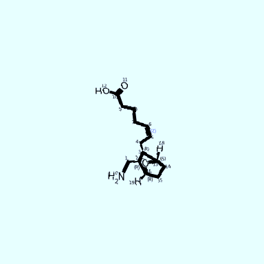 NC[C@H]1[C@@H](C/C=C\CCCC(=O)O)[C@@H]2CC[C@H]1O2